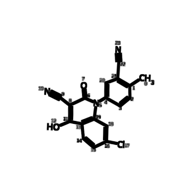 Cc1ccc(-n2c(=O)c(C#N)c(O)c3ccc(Cl)cc32)cc1C#N